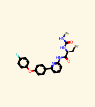 CC(C)C[C@H](NC(=O)NC(C)C)C(=O)Nc1cccc(-c2ccc(Oc3ccc(F)cc3)cc2)n1